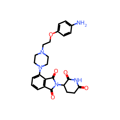 Nc1ccc(OCCN2CCN(c3cccc4c3C(=O)N(C3CCC(=O)NC3=O)C4=O)CC2)cc1